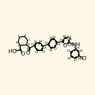 O=C(O)C1CCCCC1C(=O)c1ccc(-c2ccc(-c3cnc(Nc4cccc(Cl)c4)o3)cc2)cc1